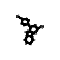 Oc1nc(-c2ccc(Cl)cc2)n2cc3ccccc3c2n1